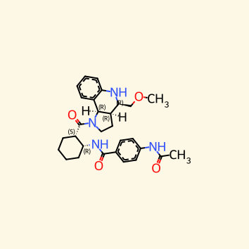 COC[C@@H]1Nc2ccccc2[C@H]2[C@@H]1CCN2C(=O)[C@H]1CCCC[C@H]1NC(=O)c1ccc(NC(C)=O)cc1